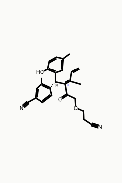 C=C/C(C)=C(/C(=O)COCCC#N)[C@H](c1ccc(C#N)cc1C)c1cc(C)ccc1O